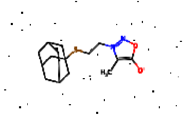 Cc1c([O-])on[n+]1CCSC12CC3CC(CC(C3)C1)C2